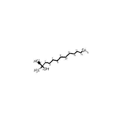 C#CC(C)(O)CCCCCCCCCCC